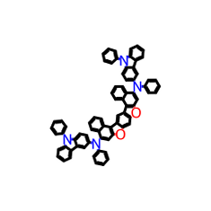 c1ccc(N(c2ccc3c(c2)c2ccccc2n3-c2ccccc2)c2cc3oc4cc5oc6cc(N(c7ccccc7)c7ccc8c(c7)c7ccccc7n8-c7ccccc7)c7ccccc7c6c5cc4c3c3ccccc23)cc1